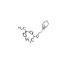 CC(=O)OC(C)OCCN1CC2CCC1C2